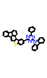 c1ccc(-c2nc(-c3ccc4sc5cc6c7c(cccc7c5c4c3)-c3ccccc3-6)nc(-n3c4ccccc4c4ccccc43)n2)cc1